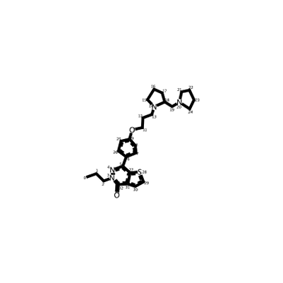 CCCn1nc(-c2ccc(OCCCN3CCCC3CN3CCCC3)cc2)c2sccc2c1=O